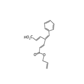 C=CCOC(=O)C=CC(C=CC(=O)O)=Cc1ccccc1